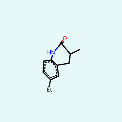 CCc1ccc2c(c1)CC(C)C(=O)N2